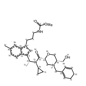 COC(=O)NCCCn1nc([C@@H](C)N(C(=O)[C@H]2CN(CC3=CCCC=C3)[C@@H](CO)CO2)C2CC2)c2ccc(C)nc21